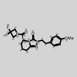 COc1ccc(CCn2nc3n(c2=O)[C@H](C(=O)N2CC(F)(F)C2)CCC3)cc1